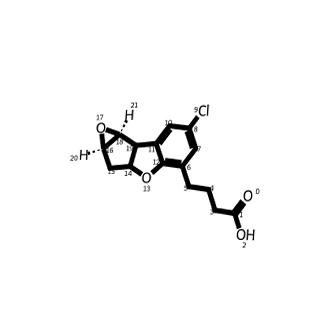 O=C(O)CCCc1cc(Cl)cc2c1OC1C[C@H]3O[C@H]3C21